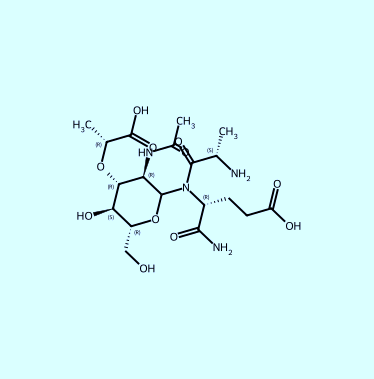 CC(=O)N[C@H]1C(N(C(=O)[C@H](C)N)[C@H](CCC(=O)O)C(N)=O)O[C@H](CO)[C@@H](O)[C@@H]1O[C@H](C)C(=O)O